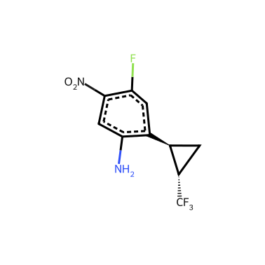 Nc1cc([N+](=O)[O-])c(F)cc1[C@H]1C[C@@H]1C(F)(F)F